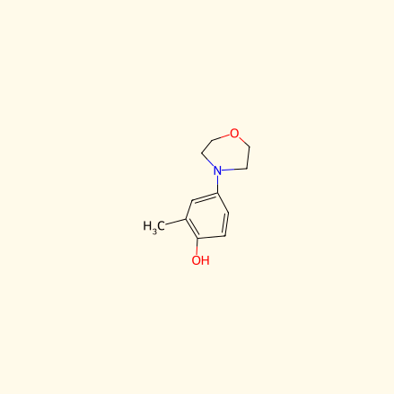 Cc1cc(N2CCOCC2)ccc1O